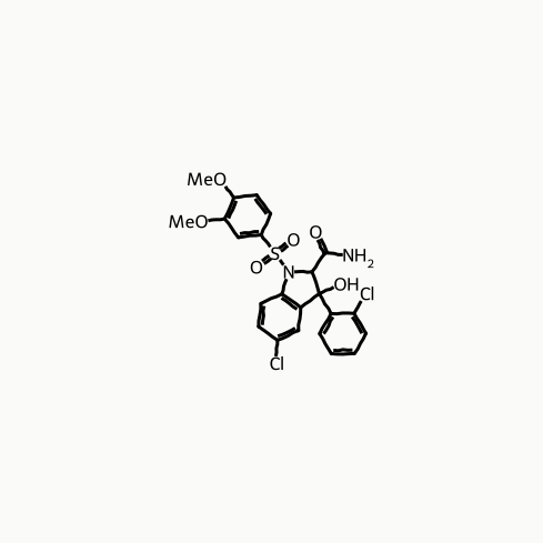 COc1ccc(S(=O)(=O)N2c3ccc(Cl)cc3C(O)(c3ccccc3Cl)C2C(N)=O)cc1OC